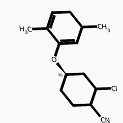 CC1=CCC(C)C=C1O[C@@H]1CCC(C#N)C(Cl)C1